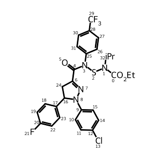 CCOC(=O)N(SN(C(=O)C1=NN(c2ccc(Cl)cc2)C(c2ccc(F)cc2)C1)c1ccc(C(F)(F)F)cc1)C(C)C